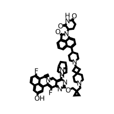 C#Cc1c(F)ccc2cc(O)cc(-c3ncc4c(N5CC6CCC(C5)N6)nc(OCC5(CN6CCC7(CC6)CC(N6CCC(c8ccc9c%10c(cccc8%10)C(=O)N9C8CCC(=O)NC8=O)CC6)C7)CC5)nc4c3F)c12